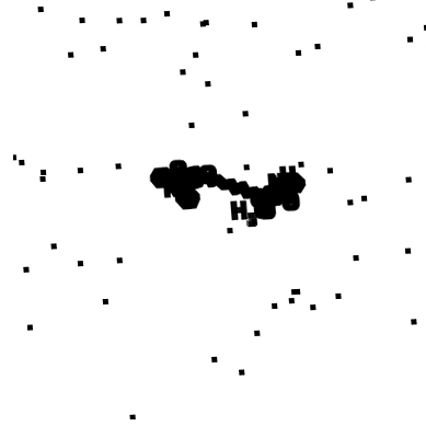 COc1cc2c(cc1OCCCCCCCCOc1ccc(-n3c(-c4ccccc4)nc4ccccc4c3=O)cc1)N=C[C@@H]1CCCN1C2=O